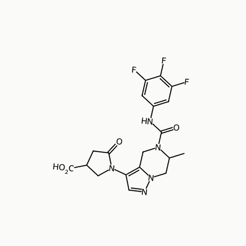 CC1Cn2ncc(N3CC(C(=O)O)CC3=O)c2CN1C(=O)Nc1cc(F)c(F)c(F)c1